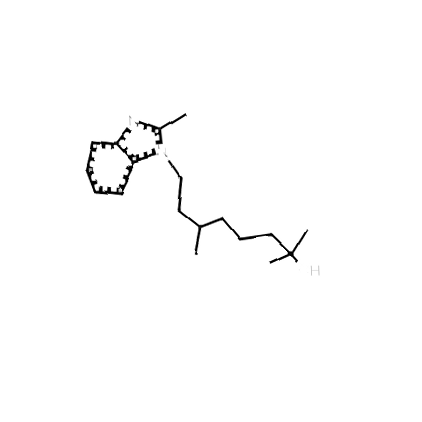 Cc1nc2ccccc2n1CCC(C)CCCC(C)(C)O